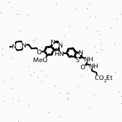 CCOC(=O)CCNC(=O)Nc1nc2ccc(Nc3ncnc4cc(OCCCN5CCN(C)CC5)c(OC)cc34)cc2s1